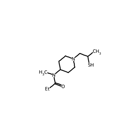 CCC(=O)N(C)C1CCN(CC(C)S)CC1